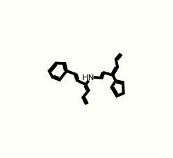 C=C/C=C(\C=Cc1ccccc1)N/C=C/C(=C\C=C)C1=CCC=C1